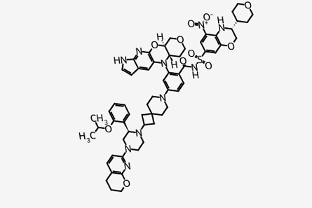 CC(C)Oc1ccccc1[C@@H]1CN(c2ccc3c(n2)OCCC3)CCN1C1CC2(CCN(c3ccc(C(=O)NS(=O)(=O)c4cc5c(c([N+](=O)[O-])c4)N[C@H](C4CCOCC4)CO5)c(N4c5cc6cc[nH]c6nc5O[C@H]5COCC[C@@H]54)c3)CC2)C1